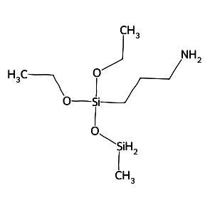 CCO[Si](CCCN)(OCC)O[SiH2]C